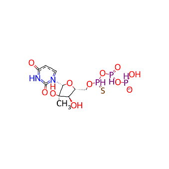 C[C@@]1(O)[C@H](O)[C@@H](CO[PH](=S)O[PH](=O)O[PH](=O)O)O[C@H]1n1ccc(=O)[nH]c1=O